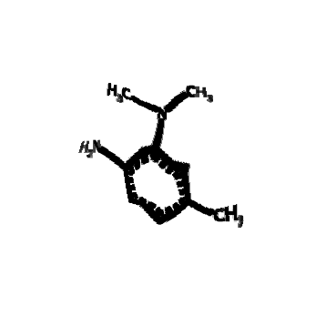 Cc1ccc(N)c(N(C)C)c1